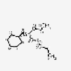 CC[O][Sn][O][SnH]([CH2]C1CCCCC1)[O]CC